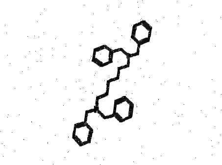 c1ccc(CP(CCCCCCP(Cc2ccccc2)Cc2ccccc2)Cc2ccccc2)cc1